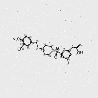 C=C(O)Cc1cc(C)cc(S(=O)(=O)N2CCN(CCc3ccc(C(F)(F)F)c(Cl)c3)CC2)c1